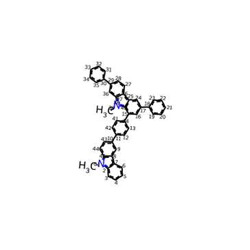 Cn1c2ccccc2c2cc(-c3ccc(-c4cc(-c5ccccc5)cc5c6ccc(-c7ccccc7)cc6n(C)c45)cc3)ccc21